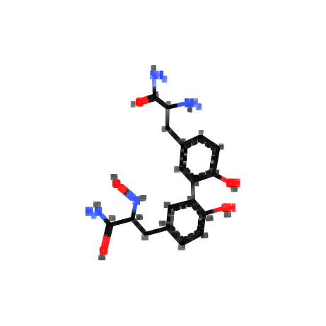 NC(=O)C(N)Cc1ccc(O)c(-c2cc(CC(N=O)C(N)=O)ccc2O)c1